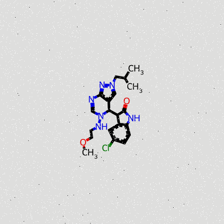 COCCNN1C=Nc2nn(CC(C)C)cc2C1C1C(=O)Nc2ccc(Cl)cc21